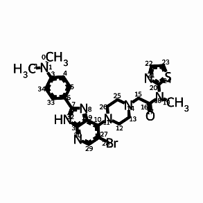 CN(C)c1ccc(-c2nc3c(N4CCN(CC(=O)N(C)c5nccs5)CC4)c(Br)cnc3[nH]2)cc1